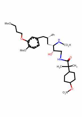 COCCCOc1cc(C[C@@H](C[C@H](NC(=O)O)[C@@H](O)CNC(=O)C(C)(C)C2CCC(O[N+](=O)[O-])CC2)C(C)C)ccc1OC